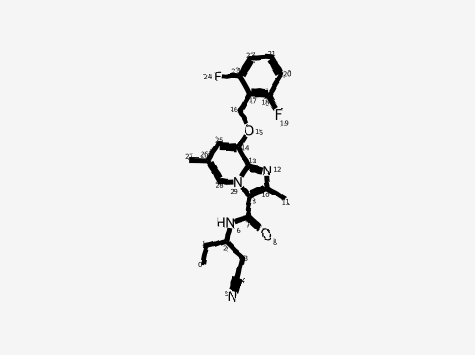 CCC(CC#N)NC(=O)c1c(C)nc2c(OCc3c(F)cccc3F)cc(C)cn12